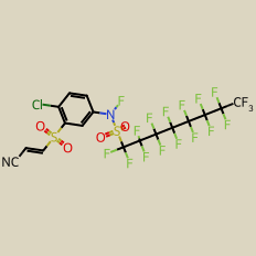 N#CC=CS(=O)(=O)c1cc(N(F)S(=O)(=O)C(F)(F)C(F)(F)C(F)(F)C(F)(F)C(F)(F)C(F)(F)C(F)(F)C(F)(F)F)ccc1Cl